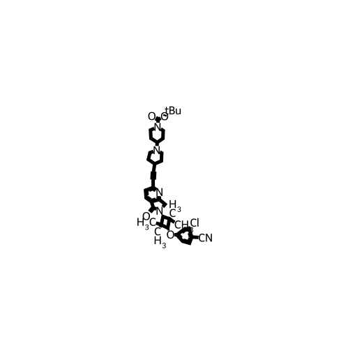 CC(C)(C)OC(=O)N1CCC(N2CCC(C#Cc3ccc4c(n3)CN([C@H]3C(C)(C)[C@H](Oc5ccc(C#N)c(Cl)c5)C3(C)C)C4=O)CC2)CC1